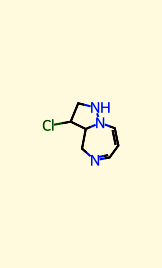 ClC1CNN2C=CC=NCC12